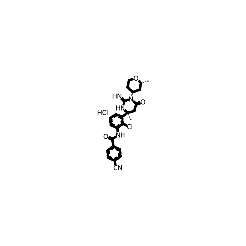 C[C@@H]1C[C@H](N2C(=N)N[C@](C)(c3cccc(NC(=O)c4ccc(C#N)cc4)c3Cl)CC2=O)CCO1.Cl